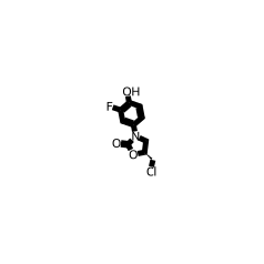 O=C1O[C@@H](CCl)CN1c1ccc(O)c(F)c1